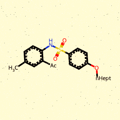 CCCCCCCOc1ccc(S(=O)(=O)Nc2ccc(C)cc2C(C)=O)cc1